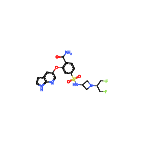 NC(=O)c1ccc(S(=O)(=O)NC2CN(C(CF)CF)C2)cc1Oc1cnc2[nH]ccc2c1